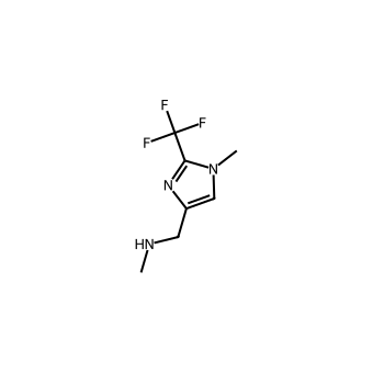 CNCc1cn(C)c(C(F)(F)F)n1